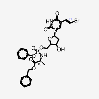 C[C@H](NP(=O)(OCC1OC(n2cc(/C=C/Br)c(=O)[nH]c2=O)CC1O)Oc1ccccc1)C(=O)OCc1ccccc1